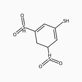 O=[SH](=O)C1=CC(S)=CC([SH](=O)=O)C1